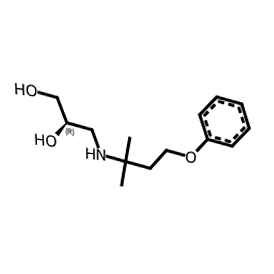 CC(C)(CCOc1ccccc1)NC[C@@H](O)CO